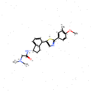 CC(C)Oc1ccc(-c2ncc(C3C=CC=C4C3CC[C@@H]4NC(=O)CN(C)C)s2)cc1C#N